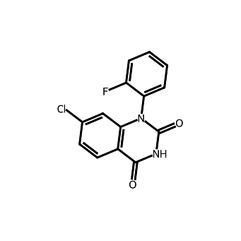 O=c1[nH]c(=O)n(-c2ccccc2F)c2cc(Cl)ccc12